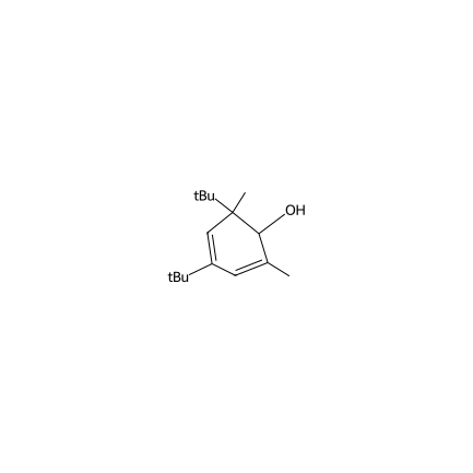 CC1=CC(C(C)(C)C)=CC(C)(C(C)(C)C)C1O